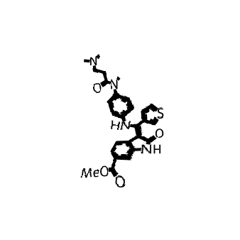 COC(=O)c1ccc2c(c1)NC(=O)C2=C(Nc1ccc(N(C)C(=O)CCN(C)C)cc1)c1ccsc1